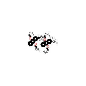 CCCOc1c2ccccc2c(OCCC)c2cc(C(C)(C)C)ccc12.CCCOc1c2ccccc2c(OCCC)c2cc(C)c(C)cc12